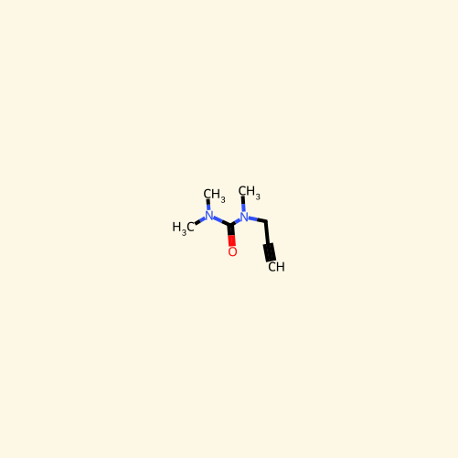 C#CCN(C)C(=O)N(C)C